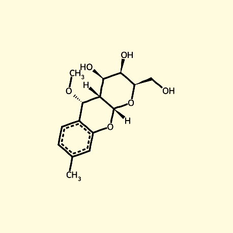 CO[C@H]1c2ccc(C)cc2O[C@H]2O[C@H](CO)[C@H](O)[C@H](O)[C@H]21